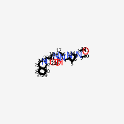 O=C1N(Cc2ccc(N3CCOCC3)cn2)CCN1C[C@H](O)CN1CCc2ccccc2C1